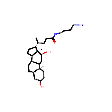 CC(CCC(=O)NCCCCN)[C@H]1CCC2C3CCC4C[C@H](O)CC[C@]4(C)C3C[C@H](O)[C@@]21C